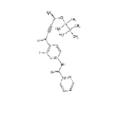 C[C@H](C#CC(=O)c1ccc(NC(=O)c2cnccn2)cc1F)O[Si](C)(C)C(C)(C)C